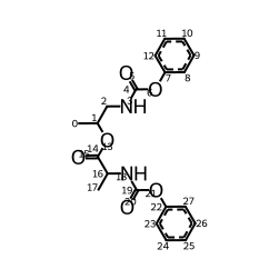 CC(CNC(=O)Oc1ccccc1)OC(=O)C(C)NC(=O)Oc1ccccc1